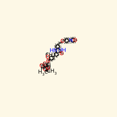 COc1cc(-c2ccc3c(c2)Nc2ccc(CCOc4ccc(N5CCOCC5)cc4)cc2NC3=O)ccc1OC[C@H]1OC(=O)[C@@H]2OC(C)(C)O[C@H]12